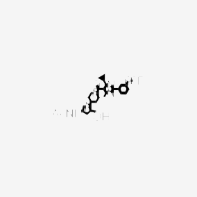 CC(=O)NC1CC(CO)N(C2CCN(C(=O)c3c(C)nc(-c4cccc(OC(F)(F)F)c4)nc3C3CC3)CC2)C1